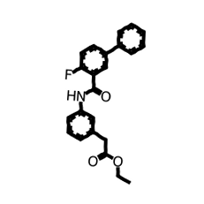 CCOC(=O)Cc1cccc(NC(=O)c2cc(-c3ccccc3)ccc2F)c1